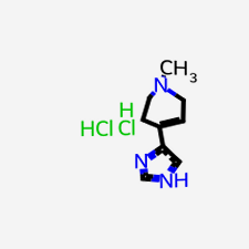 CN1CC=C(c2c[nH]cn2)CC1.Cl.Cl